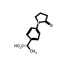 C[C@H](C(=O)O)c1ccc(N2CCCC2=O)cc1